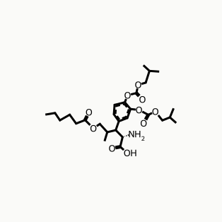 CCCCCC(=O)OCC(C)C(c1ccc(OC(=O)OCC(C)C)c(OC(=O)OCC(C)C)c1)[C@H](N)C(=O)O